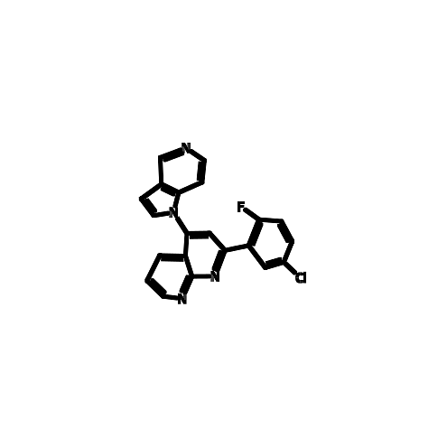 Fc1ccc(Cl)cc1-c1cc(-n2ccc3cnccc32)c2cccnc2n1